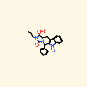 CCCN1C(=O)N2C(c3ccccc3)c3[nH]c4ccccc4c3CC2C1O